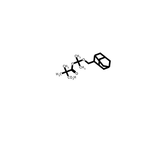 CC(C)(OCC1C2CC3CC(C2)CC1C3)OC(=O)C(C)(C)C(=O)O